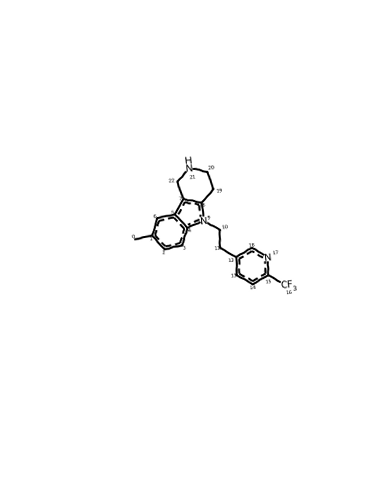 Cc1ccc2c(c1)c1c(n2CCc2ccc(C(F)(F)F)nc2)CCNC1